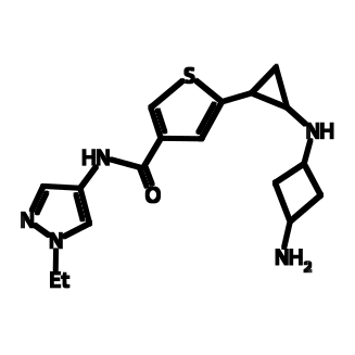 CCn1cc(NC(=O)c2csc(C3CC3NC3CC(N)C3)c2)cn1